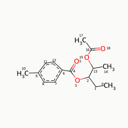 CCC(OC(=O)c1ccc(C)cc1)C(C)OC(C)=O